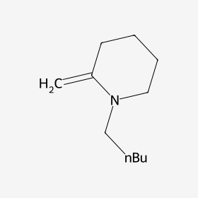 C=C1CCCCN1CCCCC